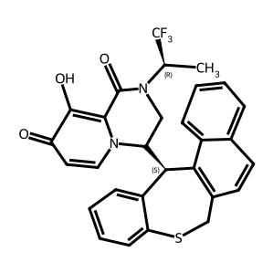 C[C@@H](N1CC([C@@H]2c3ccccc3SCc3ccc4ccccc4c32)n2ccc(=O)c(O)c2C1=O)C(F)(F)F